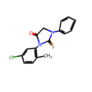 Cc1ccc(Cl)cc1N1C(=O)CN(c2ccccc2)C1=S